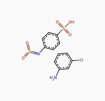 Nc1cccc(Cl)c1.O=S(=O)=Nc1ccc(S(=O)(=O)O)cc1